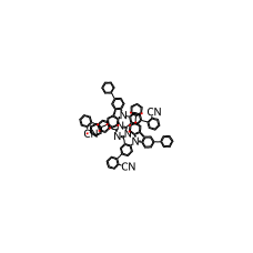 N#Cc1ccccc1-c1ccc(-c2nc(-c3cc(-c4ccccc4C#N)ccc3-n3c4ccc(-c5ccccc5)cc4c4cc(-c5ccccc5)ccc43)nc(-c3cc(-c4ccccc4C#N)ccc3-n3c4ccc(-c5ccccc5)cc4c4cc(-c5ccccc5)ccc43)n2)cc1